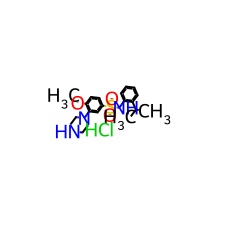 COc1ccc(S(=O)(=O)Nc2ccccc2C(C)C)cc1N1CCNCC1.Cl